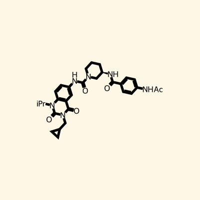 CC(=O)Nc1ccc(C(=O)N[C@@H]2CCCN(C(=O)Nc3ccc4c(c3)c(=O)n(CC3CC3)c(=O)n4C(C)C)C2)cc1